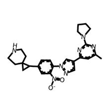 Cc1cc(-c2cnn(-c3ccc(C4CC45CCNCC5)cc3[N+](=O)[O-])c2)nc(N2CCCC2)n1